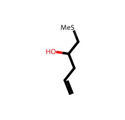 C=CCC(O)CSC